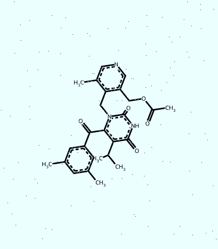 CC(=O)OCc1cncc(C)c1Cn1c(C(=O)c2cc(C)cc(C)c2)c(C(C)C)c(=O)[nH]c1=O